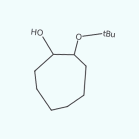 CC(C)(C)OC1CCCCCCC1O